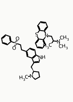 CC(CN1c2ccccc2Sc2ccccc21)N(C)C.CN1CCC[C@@H]1Cc1c[nH]c2ccc(CCS(=O)(=O)c3ccccc3)cc12